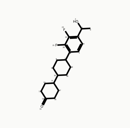 CC(O)c1ccc(C2CCC(C3CCC(=O)CC3)CC2)c(F)c1F